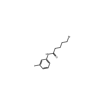 O=C(CCCCBr)Nc1cccc(I)c1